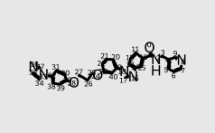 O=C(NCc1cccnc1)c1ccc2c(c1)ncn2-c1cccc(OCCCOc2ccc(-n3ccnc3)cc2)c1